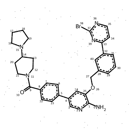 Nc1ncc(-c2ccc(C(=O)N3CCC(N4CCCC4)CC3)cc2)cc1OCc1cccc(-c2ccnc(Br)n2)c1